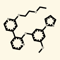 CCOCCOc1cc(-c2cccnc2Oc2cc(OC)cc(-n3cccn3)c2)ccn1